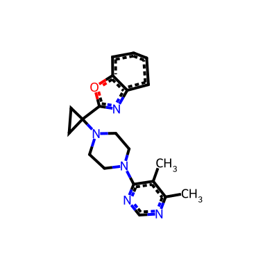 Cc1ncnc(N2CCN(C3(c4nc5ccccc5o4)CC3)CC2)c1C